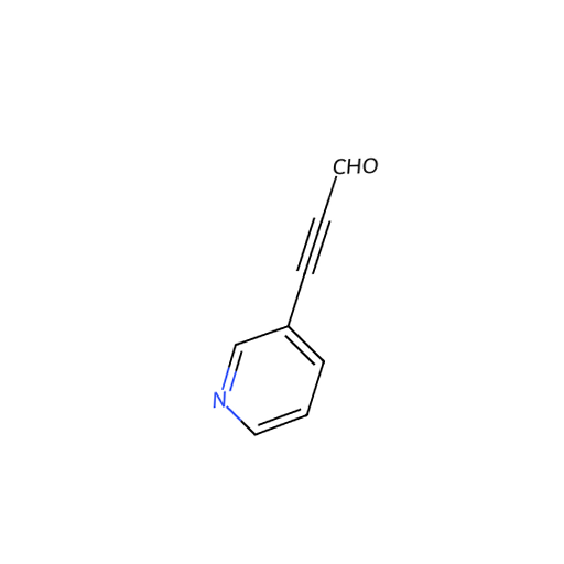 O=CC#Cc1cccnc1